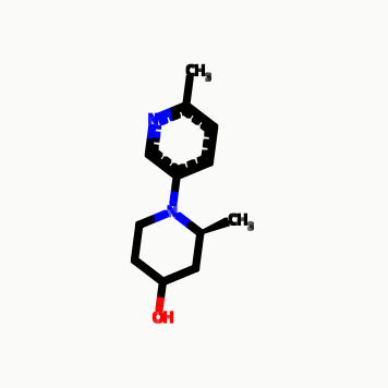 Cc1ccc(N2CCC(O)C[C@@H]2C)cn1